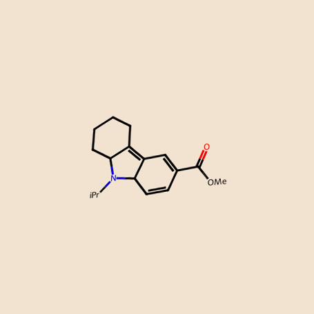 COC(=O)C1=CC2=C3CCCCC3N(C(C)C)C2C=C1